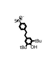 CC(C)(C)c1cc(CCc2ccc([N+]([O-])=S)cc2)cc(C(C)(C)C)c1O